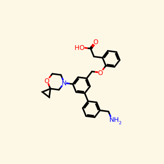 NCc1cccc(-c2cc(COc3ccccc3CC(=O)O)cc(N3CCOC4(CC4)C3)c2)c1